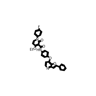 CCOc1ccn(-c2ccc(F)cc2)c(=O)c1C(=O)Nc1ccc(Oc2ccnc3cc(-c4ccccc4)oc23)cc1